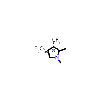 CC1[C@@H](C(F)(F)F)[C@@H](C(F)(F)F)CN1C